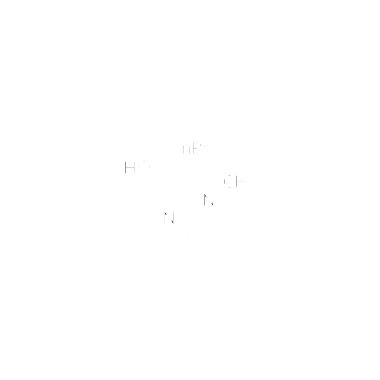 CCCC(O)c1nccn1C